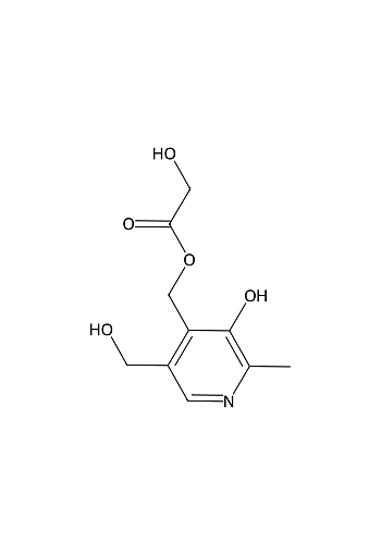 Cc1ncc(CO)c(COC(=O)CO)c1O